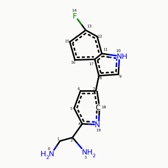 NCC(N)c1ccc(-c2c[nH]c3cc(F)ccc23)cn1